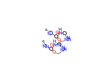 O=C1Nc2cc(C3CCn4cnnc4-c4cccc(c4)NC(=O)c4cc(-c5ccc(C6CC6)nc5)ccc4O3)cc(n2)-c2nncn2CCCCOc2ccc(-n3cnc(C4CC4)c3)cc21